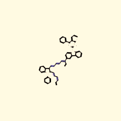 C=C/C=C\C=C\C1C(/C=C/C=C/C=C(\C=C)c2ccc3c(c2)c2ccccc2n3-c2nc(-c3ccccc3)c3cccnc3n2)c2ccccc2N1c1ccccc1